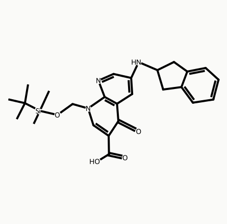 CC(C)(C)[Si](C)(C)OCn1cc(C(=O)O)c(=O)c2cc(NC3Cc4ccccc4C3)cnc21